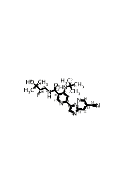 CC(C)(C)Nc1cc(-c2cnc3cc(C#N)cnn23)ncc1C(=O)NC[C@@H](F)C(C)(C)O